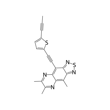 CC#Cc1ccc(C#Cc2c3nsnc3c(C)c3nc(C)c(C)nc23)s1